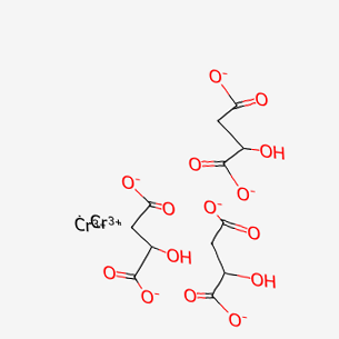 O=C([O-])CC(O)C(=O)[O-].O=C([O-])CC(O)C(=O)[O-].O=C([O-])CC(O)C(=O)[O-].[Cr+3].[Cr+3]